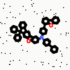 c1ccc(-c2ccc(N(c3ccc(-c4cccc5c4oc4ccccc45)cc3)c3ccc4oc5cc6c(cc5c4c3)-c3ccccc3C6(c3ccccc3)c3ccccc3)cc2)cc1